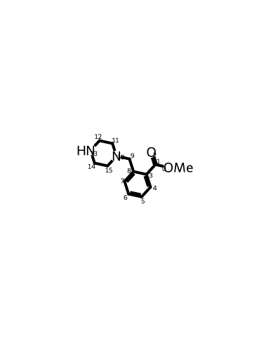 COC(=O)c1ccccc1CN1CCNCC1